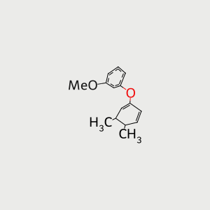 COc1cccc(OC2=CC(C)C(C)C=C2)c1